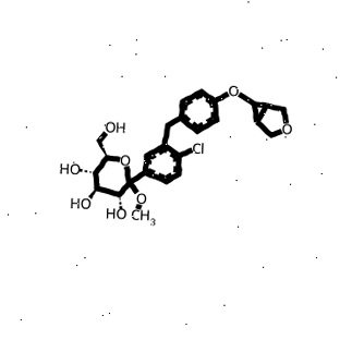 COC1(c2ccc(Cl)c(Cc3ccc(OC4C5COCC54)cc3)c2)O[C@H](CO)[C@@H](O)[C@H](O)[C@H]1O